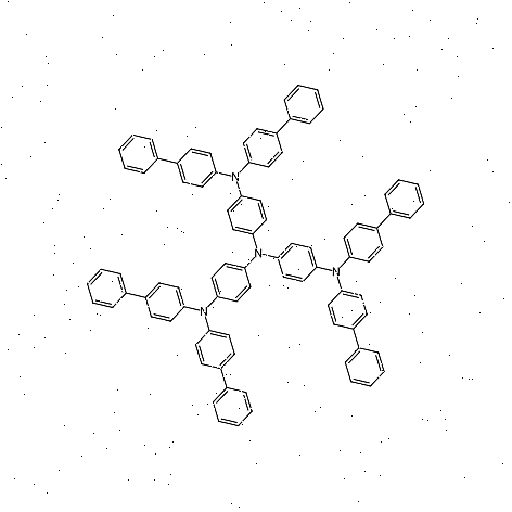 c1ccc(-c2ccc(N(c3ccc(-c4ccccc4)cc3)c3ccc(N(c4ccc(N(c5ccc(-c6ccccc6)cc5)c5ccc(-c6ccccc6)cc5)cc4)c4ccc(N(c5ccc(-c6ccccc6)cc5)c5ccc(-c6ccccc6)cc5)cc4)cc3)cc2)cc1